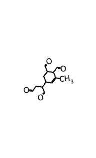 CC1=CC(C(C=O)CC=O)CC(C=O)C1C=O